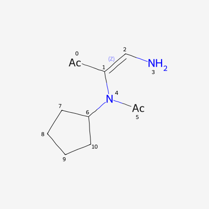 CC(=O)/C(=C/N)N(C(C)=O)C1CCCC1